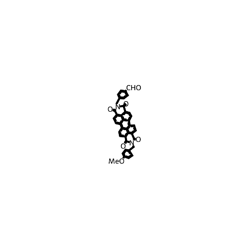 COc1ccc(CN2C(=O)c3ccc4c5ccc6c7c(ccc(c8ccc(c3c48)C2=O)c75)C(=O)N(Cc2ccc(C=O)cc2)C6=O)cc1